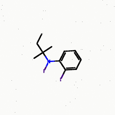 CCC(C)(C)N(I)c1ccccc1I